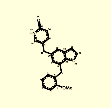 COc1ccccc1Cc1cc(Cc2ccc(=O)[nH]n2)cc2ccoc12